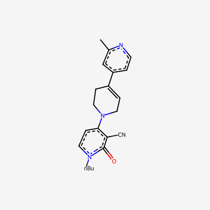 CCCCn1ccc(N2CC=C(c3ccnc(C)c3)CC2)c(C#N)c1=O